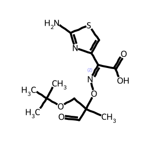 CC(C)(C)OCC(C)(C=O)O/N=C(\C(=O)O)c1csc(N)n1